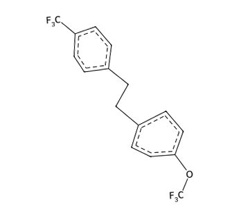 FC(F)(F)Oc1ccc(CCc2ccc(C(F)(F)F)cc2)cc1